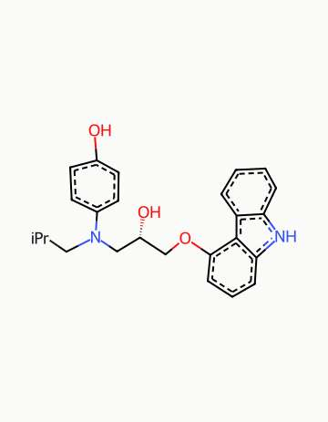 CC(C)CN(C[C@H](O)COc1cccc2[nH]c3ccccc3c12)c1ccc(O)cc1